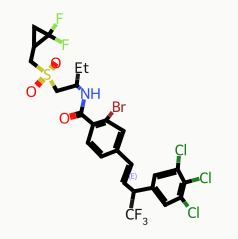 CCC(CS(=O)(=O)CC1CC1(F)F)NC(=O)c1ccc(/C=C/C(c2cc(Cl)c(Cl)c(Cl)c2)C(F)(F)F)cc1Br